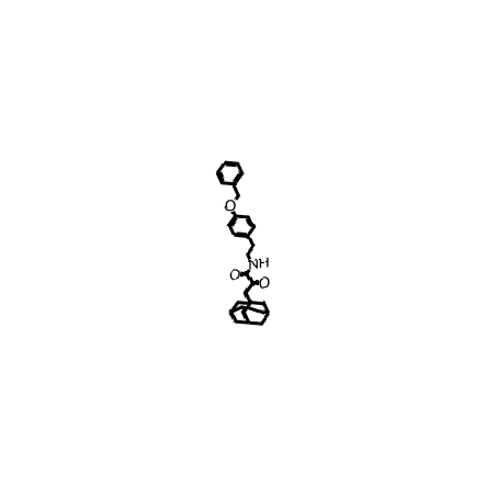 O=C(CC12CC3CC(CC(C3)C1)C2)C(=O)NCCc1ccc(OCc2ccccc2)cc1